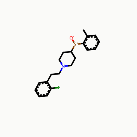 Cc1ccccc1[S+]([O-])C1CCN(CCc2ccccc2F)CC1